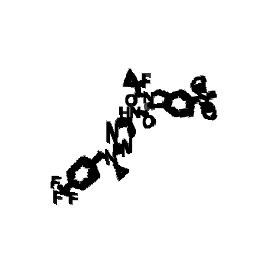 CS(=O)(=O)c1ccc2c(c1)CN(C(=O)C1(F)CC1)[C@H]2C(=O)Nc1cnc(N(Cc2ccc(C(F)(F)F)cc2)C2CC2)nc1